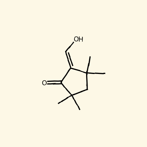 CC1(C)CC(C)(C)/C(=C\O)C1=O